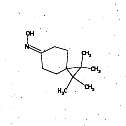 CC1(C)C(C)(C)C12CCC(=NO)CC2